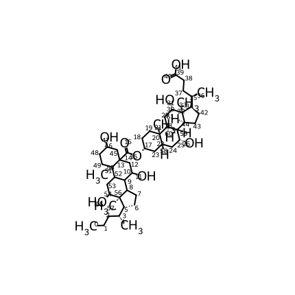 CCC[C@@H](C)[C@H]1CCC2C3C(O)CC4(C(=O)O[C@@H]5CC[C@@]6(C)[C@@H](C5)C[C@@H](O)[C@@H]5[C@@H]6C[C@H](O)[C@]6(C)[C@@H]([C@H](C)CCC(=O)O)CC[C@@H]56)C[C@H](O)CC[C@]4(C)C3C[C@H](O)[C@@]21C